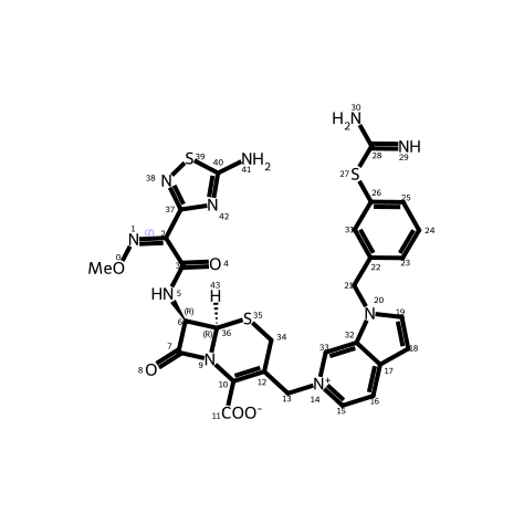 CO/N=C(\C(=O)N[C@@H]1C(=O)N2C(C(=O)[O-])=C(C[n+]3ccc4ccn(Cc5cccc(SC(=N)N)c5)c4c3)CS[C@H]12)c1nsc(N)n1